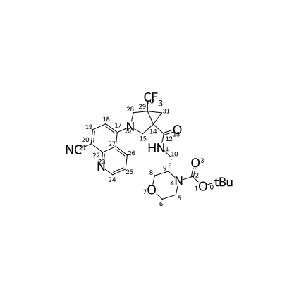 CC(C)(C)OC(=O)N1CCOC[C@@H]1CNC(=O)C12CN(c3ccc(C#N)c4ncccc34)CC1(C(F)(F)F)C2